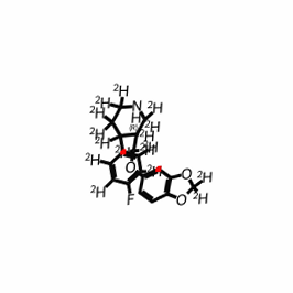 [2H]c1c([2H])c(C2([2H])C([2H])([2H])C([2H])([2H])NC([2H])([2H])[C@]2([2H])C([2H])([2H])Oc2ccc3c(c2)OC([2H])([2H])O3)c([2H])c([2H])c1F